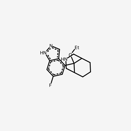 CCOC1(c2cc(F)cc3[nH]ncc23)C2CCCC1CNC2